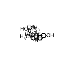 CC(C)C(C)(O)CC[C@@H](C)[C@H]1CC[C@H]2[C@@H]3CCC4CC(O)CC[C@]4(C)[C@H]3CC[C@]12C